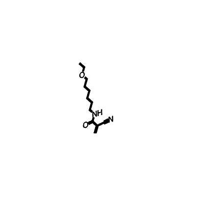 C=C(C#N)C(=O)NCCCCCCOCC